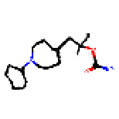 CC(C)(CC1CCN(C2CCCC2)CC1)OC(N)=O